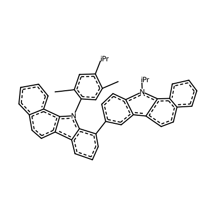 Cc1cc(-n2c3c(-c4ccc5c(c4)c4ccc6ccccc6c4n5C(C)C)cccc3c3ccc4ccccc4c32)c(C)cc1C(C)C